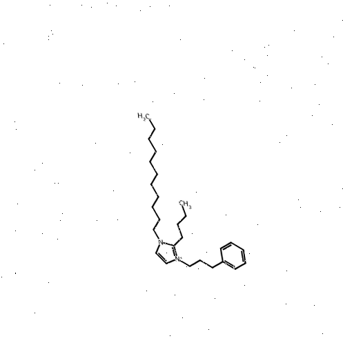 CCCCCCCCCCCn1cc[n+](CCCc2ccccc2)c1CCCC